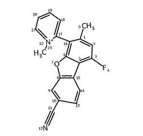 Cc1cc(F)c2c(oc3cc(C#N)ccc32)c1-c1cccc[n+]1C